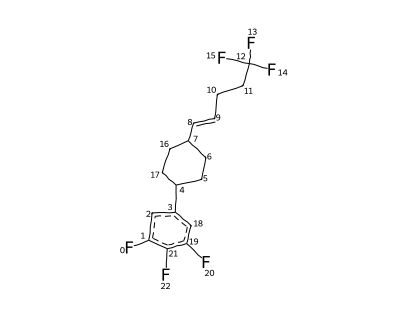 Fc1cc(C2CCC(/C=C/CCC(F)(F)F)CC2)cc(F)c1F